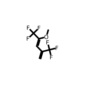 C=C(/C=C(\OC)C(F)(F)F)C(F)(F)F